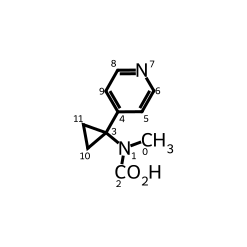 CN(C(=O)O)C1(c2ccncc2)CC1